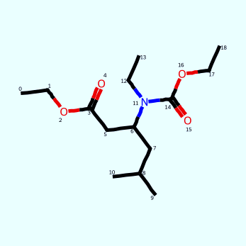 CCOC(=O)CC(CC(C)C)N(CC)C(=O)OCC